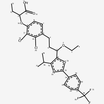 CCOC(CCc1ccc(OC(CC)C(=O)O)c(Cl)c1Cl)c1sc(-c2ccc(C(F)(F)F)cc2)nc1C(C)C